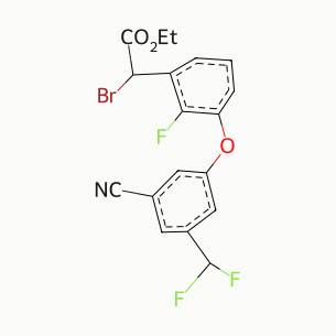 CCOC(=O)C(Br)c1cccc(Oc2cc(C#N)cc(C(F)F)c2)c1F